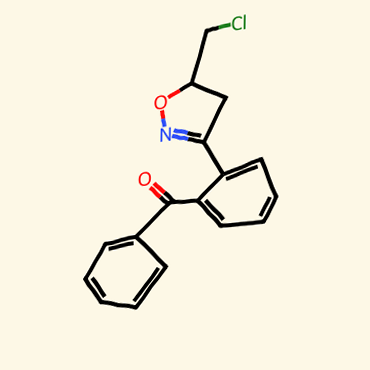 O=C(c1ccccc1)c1ccccc1C1=NOC(CCl)C1